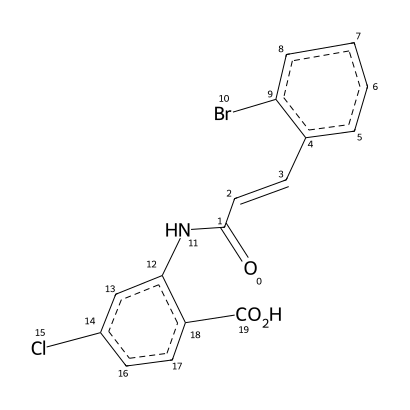 O=C(C=Cc1ccccc1Br)Nc1cc(Cl)ccc1C(=O)O